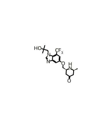 C[C@H]1CC(=O)C[C@@H](COc2cc(C(F)(F)F)c3c(c2)ncn3CC(C)(C)O)N1